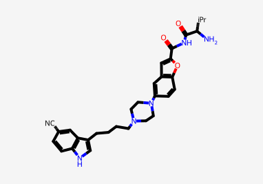 CC(C)C(N)C(=O)NC(=O)c1cc2cc(N3CCN(CCCCc4c[nH]c5ccc(C#N)cc45)CC3)ccc2o1